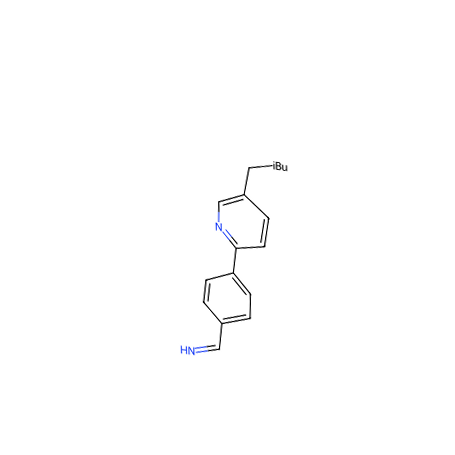 CCC(C)Cc1ccc(-c2ccc(C=N)cc2)nc1